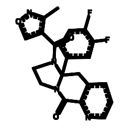 Cc1nocc1C(=O)N1CCN2C(=O)c3ncccc3CC12c1ccc(F)c(F)c1